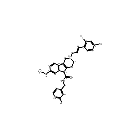 O=C(NCc1ccnc(F)c1)n1c2c(c3ccc(OC(F)(F)F)cc31)CN(CC=Cc1ccc(F)cc1F)CC2